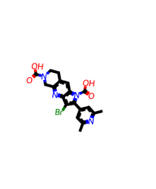 Cc1cc(-c2c(Br)c3nc4c(cc3n2C(=O)O)CCN(C(=O)O)C4)cc(C)n1